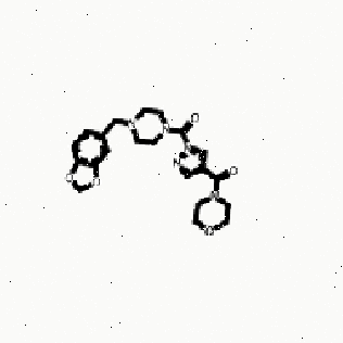 O=C(c1cnn(C(=O)N2CCN(Cc3ccc4c(c3)OCO4)CC2)c1)N1CCOCC1